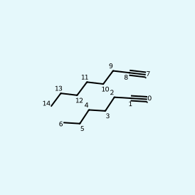 [C]#CCCCCC.[C]#CCCCCCC